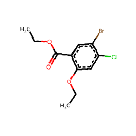 CCOC(=O)c1cc(Br)c(Cl)cc1OCC